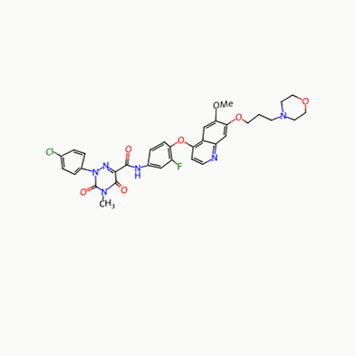 COc1cc2c(Oc3ccc(NC(=O)c4nn(-c5ccc(Cl)cc5)c(=O)n(C)c4=O)cc3F)ccnc2cc1OCCCN1CCOCC1